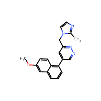 COc1ccc2c(-c3cnnc(Cn4ccnc4C)c3)cccc2c1